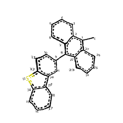 Cc1c2ccccc2c(-c2ccc3sc4ccccc4c3c2)c2ccccc12